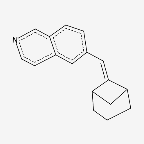 C(=C1C2CCCC1C2)c1ccc2cnccc2c1